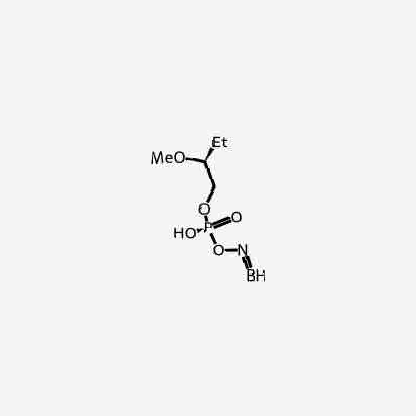 B=NO[P@](=O)(O)OC[C@H](CC)OC